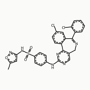 Cc1cc(NS(=O)(=O)c2ccc(Nc3ncc4c(n3)-c3ccc(Cl)cc3C(c3ccccc3Cl)=NC4)cc2)no1